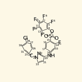 O=S(=O)(Oc1c(F)c(F)c(F)c(F)c1F)c1ccc(Nc2ccn(Cc3ccc(Cl)cc3)n2)cc1F